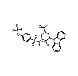 CC(=O)N1CC(n2c3ccccc3c3ccccc32)[C@@H](O)[C@H](NS(=O)(=O)c2ccc(OC(F)(F)F)cc2)C1